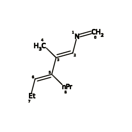 C=N/C=C(C)/C(=C/CC)CCC